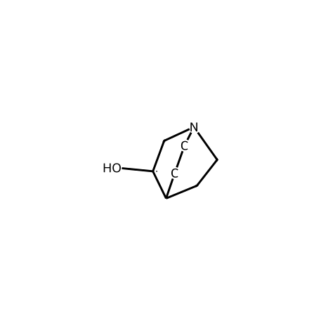 O[C]1CN2CCC1CC2